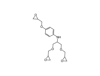 c1cc(OCC2CO2)ccc1NC(COCC1CO1)COCC1CO1